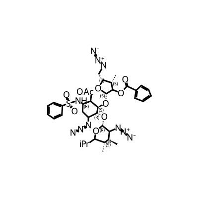 CC(=O)OC1[C@@H](O[C@@H]2O[C@H](CN=[N+]=[N-])[C@H](C)C2OC(=O)c2ccccc2)[C@H](O[C@H]2OC(C(C)C)[C@@H](C)[C@H](C)C2N=[N+]=[N-])C(N=[N+]=[N-])C[C@H]1NS(=O)(=O)c1ccccc1